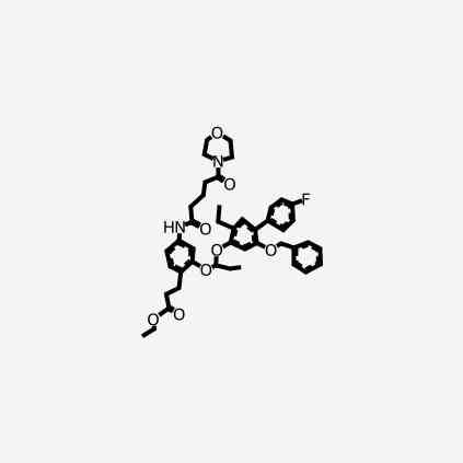 CCOC(=O)CCc1ccc(NC(=O)CCCC(=O)N2CCOCC2)cc1OC(CC)Oc1cc(OCc2ccccc2)c(-c2ccc(F)cc2)cc1CC